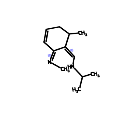 C/N=C1/C=CCC(C)/C1=C/NC(C)C